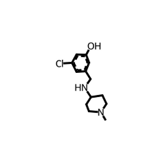 CN1CCC(NCc2cc(O)cc(Cl)c2)CC1